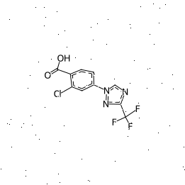 O=C(O)c1ccc(-n2cnc(C(F)(F)F)n2)cc1Cl